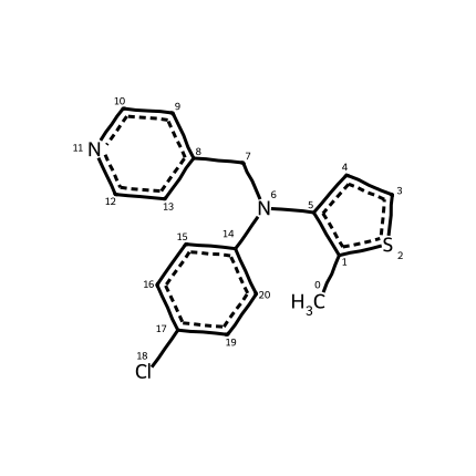 Cc1sccc1N(Cc1ccncc1)c1ccc(Cl)cc1